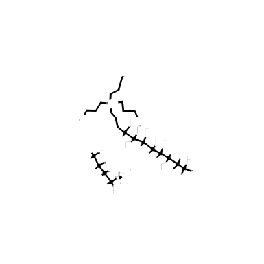 CCCC[P+](CCCC)(CCCC)CCCC(F)(F)C(F)(F)C(F)(F)C(F)(F)C(F)(F)C(F)(F)C(F)(F)C(F)(F)F.O=S(=O)([O-])C(F)(F)C(F)(F)C(F)(F)C(F)(F)F